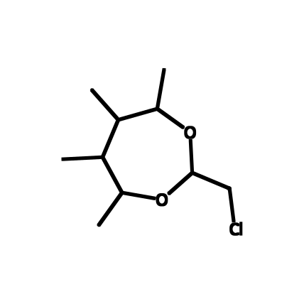 CC1OC(CCl)OC(C)C(C)C1C